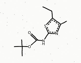 CCc1sc(NC(=O)OC(C)(C)C)nc1C